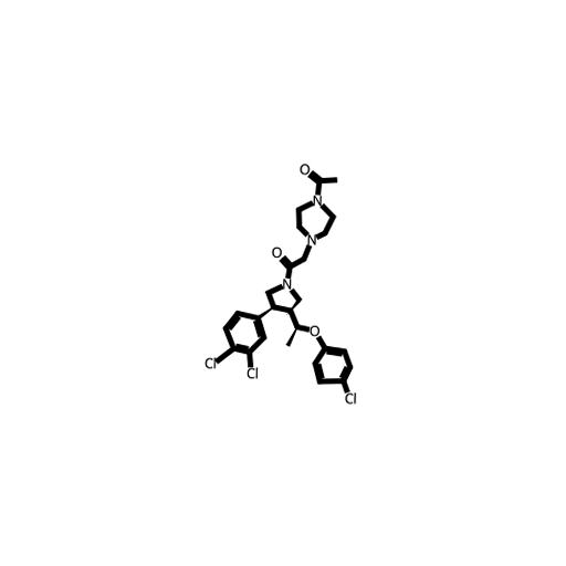 CC(=O)N1CCN(CC(=O)N2C[C@@H]([C@H](C)Oc3ccc(Cl)cc3)[C@@H](c3ccc(Cl)c(Cl)c3)C2)CC1